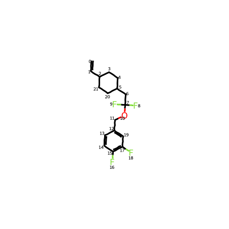 C=CC1CCC(CC(F)(F)OCc2ccc(F)c(F)c2)CC1